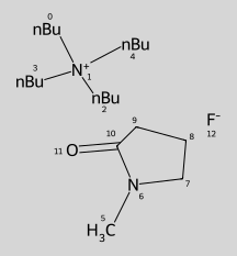 CCCC[N+](CCCC)(CCCC)CCCC.CN1CCCC1=O.[F-]